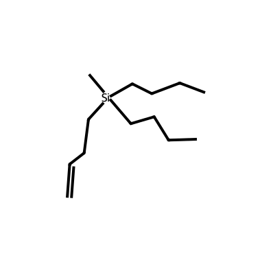 C=CCC[Si](C)(CCCC)CCCC